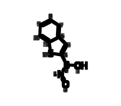 O=NB(O)c1cc2ccccc2s1